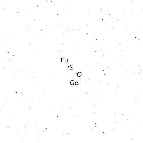 [Eu].[Ge].[O].[S]